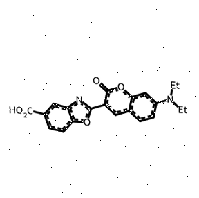 CCN(CC)c1ccc2cc(-c3nc4cc(C(=O)O)ccc4o3)c(=O)oc2c1